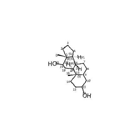 C[C@@]12CCC[C@H]1[C@@H]1CCC3CC(O)CC[C@]3(C)[C@H]1CC2O